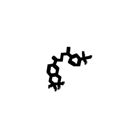 C=C(CCC(=C)c1ccc2c(c1)CC(F)(F)C(F)(F)C2)c1cccc(C(F)(F)F)c1